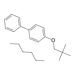 CC(C)(C)COc1ccc(-c2ccccc2)cc1.CCCCCC